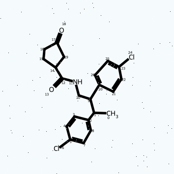 CC(c1ccc(Cl)cc1)C(CNC(=O)C1CCC(=O)C1)c1ccc(Cl)cc1